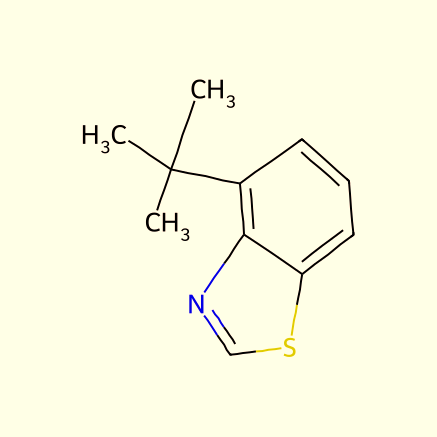 CC(C)(C)c1cccc2scnc12